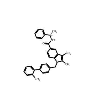 Cc1ccccc1-c1ccc(Cn2c(C)c(C)c3cc(C(=O)N[C@@H](C)c4ccccc4)ccc32)cc1